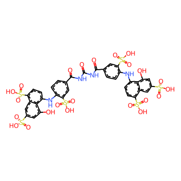 O=C(NC(=O)c1ccc(Nc2ccc(S(=O)(=O)O)c3cc(S(=O)(=O)O)cc(O)c23)c(S(=O)(=O)O)c1)NC(=O)c1ccc(Nc2ccc(S(=O)(=O)O)c3cc(S(=O)(=O)O)cc(O)c23)c(S(=O)(=O)O)c1